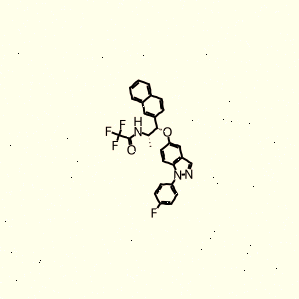 C[C@H](NC(=O)C(F)(F)F)[C@@H](Oc1ccc2c(cnn2-c2ccc(F)cc2)c1)c1ccc2ccccc2c1